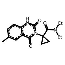 CCN(CC)C(=O)C1(n2c(=O)[nH]c3ccc(C)cc3c2=O)CC1